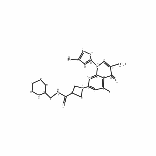 Cc1cc(N2CC(C(=O)NCC3CCCCO3)C2)nc2c1c(=O)c(C(=O)O)cn2-c1nc(C(C)C)ns1